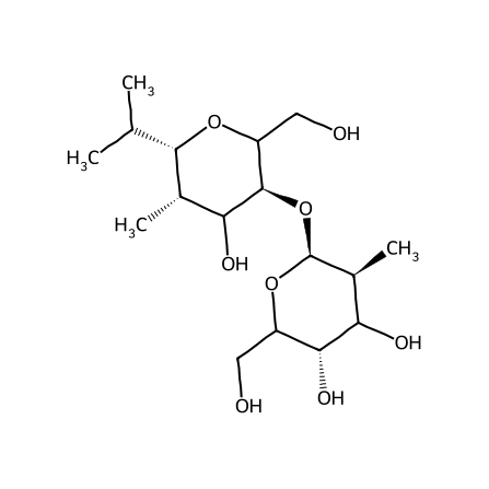 CC(C)[C@@H]1OC(CO)[C@@H](O[C@@H]2OC(CO)[C@@H](O)C(O)[C@@H]2C)C(O)[C@@H]1C